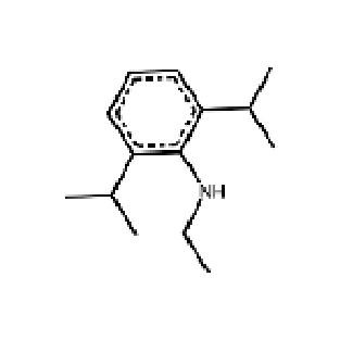 CCNc1c(C(C)C)cccc1C(C)C